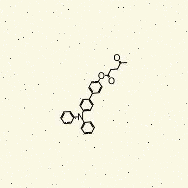 CC(=O)CCC(=O)Oc1ccc(-c2ccc(N(c3ccccc3)c3ccccc3)cc2)cc1